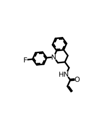 C=CC(=O)NCC1Cc2ccccc2N(c2ccc(F)cc2)C1